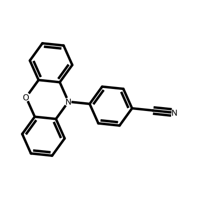 N#Cc1ccc(N2c3ccccc3Oc3ccccc32)cc1